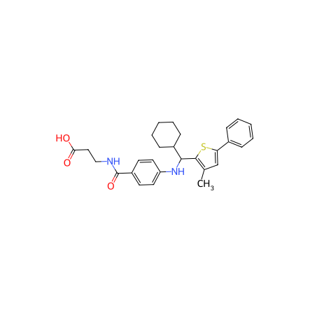 Cc1cc(-c2ccccc2)sc1C(Nc1ccc(C(=O)NCCC(=O)O)cc1)C1CCCCC1